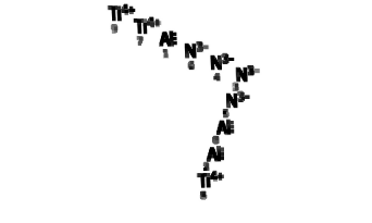 [Al].[Al].[Al].[N-3].[N-3].[N-3].[N-3].[Ti+4].[Ti+4].[Ti+4]